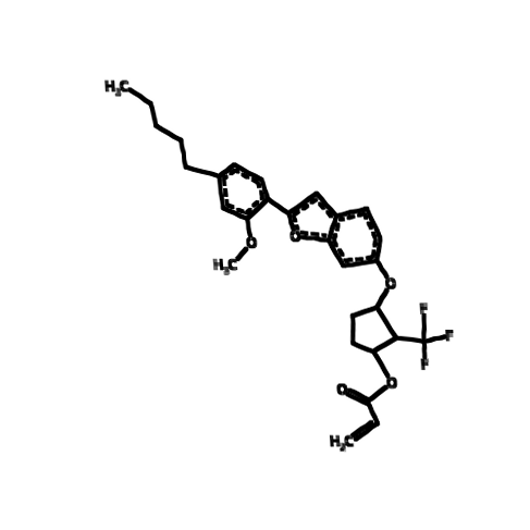 C=CC(=O)OC1CCC(Oc2ccc3cc(-c4ccc(CCCCC)cc4OC)oc3c2)C1C(F)(F)F